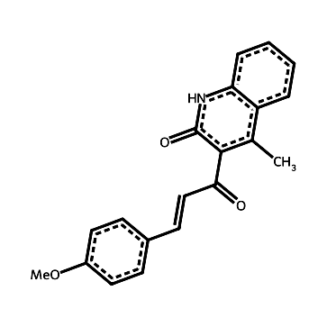 COc1ccc(C=CC(=O)c2c(C)c3ccccc3[nH]c2=O)cc1